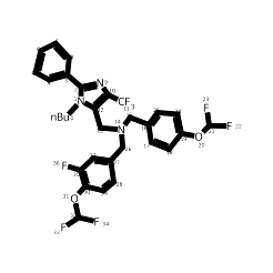 CCCCn1c(-c2ccccc2)nc(C(F)(F)F)c1CN(Cc1ccc(OC(F)F)cc1)Cc1ccc(OC(F)F)c(F)c1